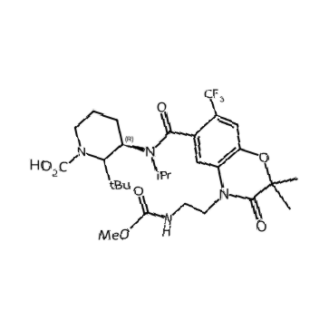 COC(=O)NCCN1C(=O)C(C)(C)Oc2cc(C(F)(F)F)c(C(=O)N(C(C)C)[C@@H]3CCCN(C(=O)O)C3C(C)(C)C)cc21